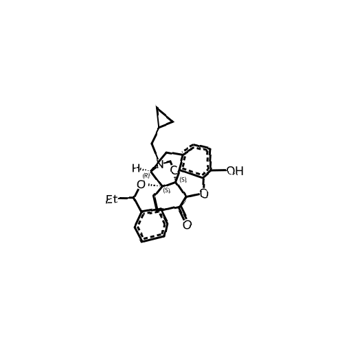 CCC(O[C@@]12CCC(=O)C3Oc4c(O)ccc5c4[C@@]31CCN(CC1CC1)[C@@H]2C5)c1ccccc1